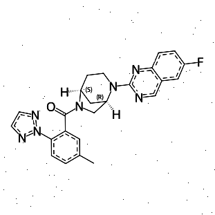 Cc1ccc(-n2nccn2)c(C(=O)N2C[C@H]3C[C@@H]2CCN3c2ncc3cc(F)ccc3n2)c1